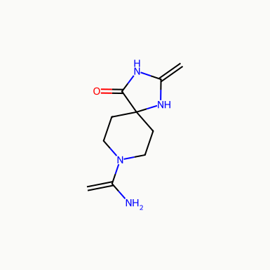 C=C1NC(=O)C2(CCN(C(=C)N)CC2)N1